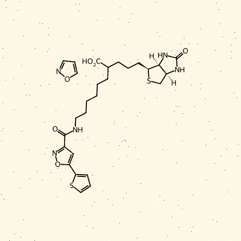 O=C1N[C@H]2[C@H](CS[C@H]2CCCC(CCCCCCNC(=O)c2cc(-c3cccs3)on2)C(=O)O)N1.c1cnoc1